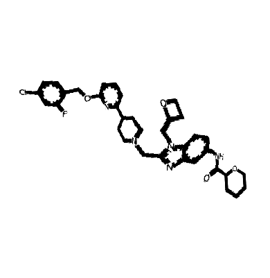 O=C(Nc1ccc2c(c1)nc(CN1CCC(c3cccc(OCc4ccc(Cl)cc4F)n3)CC1)n2CC1CCO1)C1CCCCO1